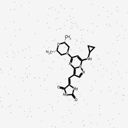 C[C@@H]1CN(c2cc(NC3CC3)n3ncc(/C=C4\NC(=O)NC4=O)c3n2)C[C@H](C)O1